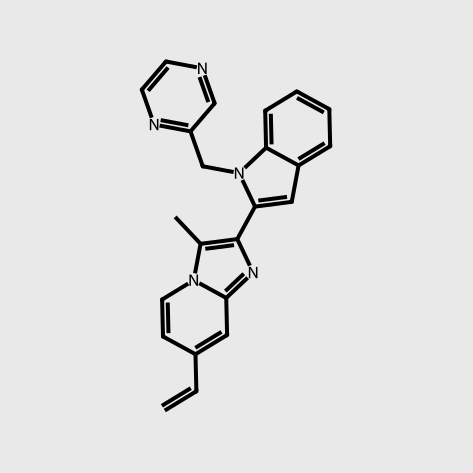 C=Cc1ccn2c(C)c(-c3cc4ccccc4n3Cc3cnccn3)nc2c1